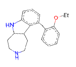 CCOc1ccccc1-c1cccc2c1C1CCNCCC1N2